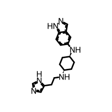 c1ncc(CCN[C@H]2CC[C@H](Nc3ccc4[nH]ncc4c3)CC2)[nH]1